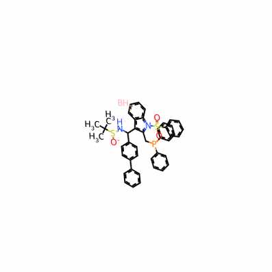 B.CC(C)(C)[S+]([O-])NC(c1ccc(-c2ccccc2)cc1)c1c(CP(c2ccccc2)c2ccccc2)n(S(=O)(=O)c2ccccc2)c2ccccc12